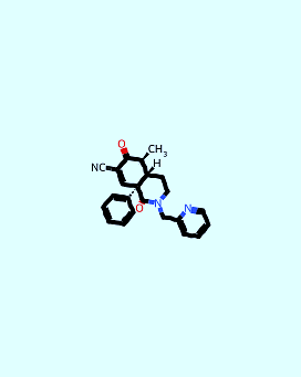 C[C@@H]1C(=O)C(C#N)=C[C@]2(c3ccccc3)C(=O)N(Cc3ccccn3)CC[C@@H]12